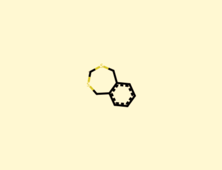 [CH]1SCc2ccccc2CS1